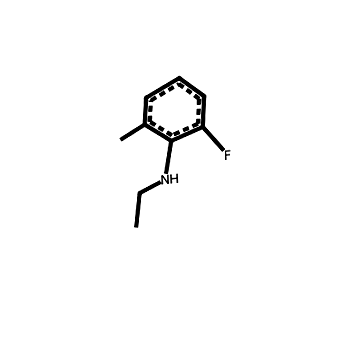 CCNc1c(C)cccc1F